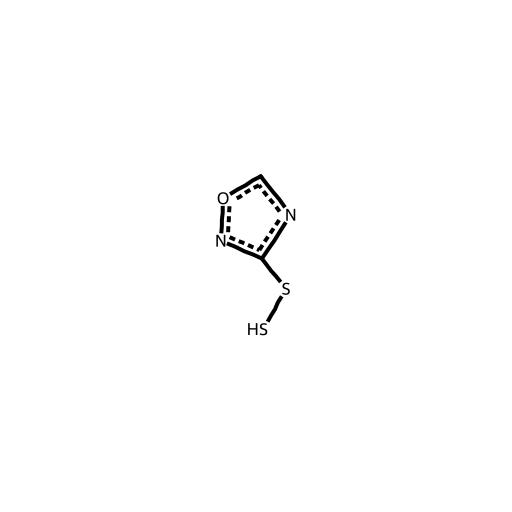 SSc1ncon1